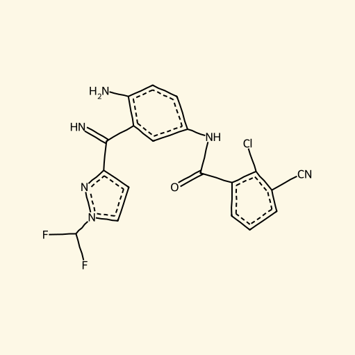 N#Cc1cccc(C(=O)Nc2ccc(N)c(C(=N)c3ccn(C(F)F)n3)c2)c1Cl